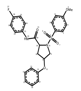 COc1ccc(S(=O)(=O)N2CC(Oc3ccccc3)CC2C(=O)Nc2ccc(F)cc2)cc1